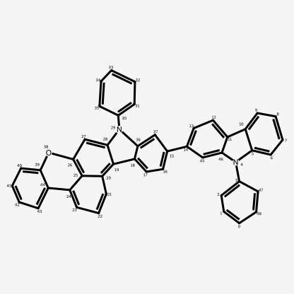 c1ccc(-n2c3ccccc3c3ccc(-c4ccc5c6c7cccc8c7c(cc6n(-c6ccccc6)c5c4)Oc4ccccc4-8)cc32)cc1